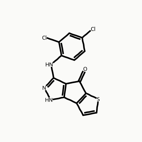 O=C1c2sccc2-c2[nH]nc(Nc3ccc(Cl)cc3Cl)c21